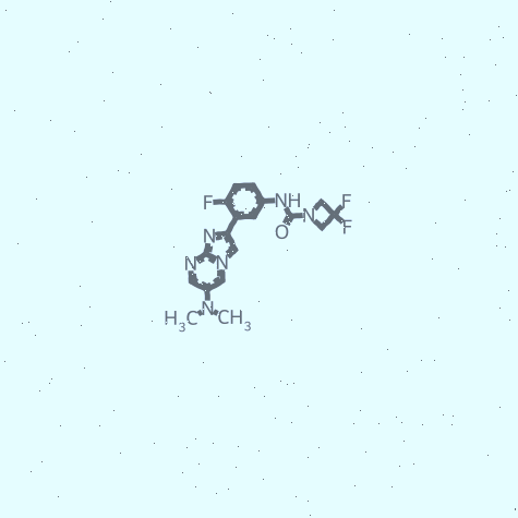 CN(C)c1cnc2nc(-c3cc(NC(=O)N4CC(F)(F)C4)ccc3F)cn2c1